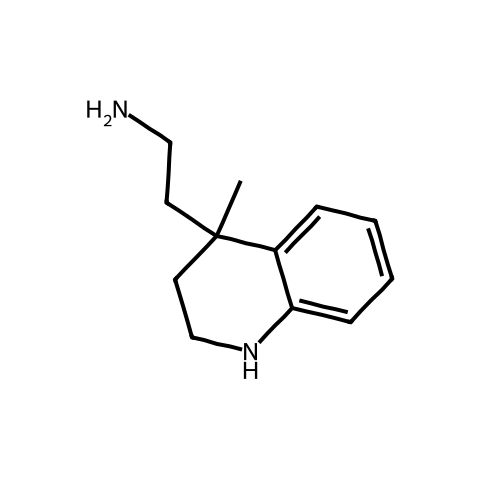 CC1(CCN)CCNc2ccccc21